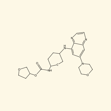 O=C(NC1CCC(Nc2cc(N3CCOCC3)cc3nccnc23)CC1)OC1CCOC1